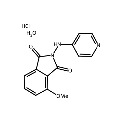 COc1cccc2c1C(=O)N(Nc1ccncc1)C2=O.Cl.O